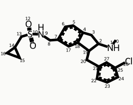 CNC1Cc2ccc(CNS(=O)(=O)CC3CC3)cc2C1Cc1cccc(Cl)c1